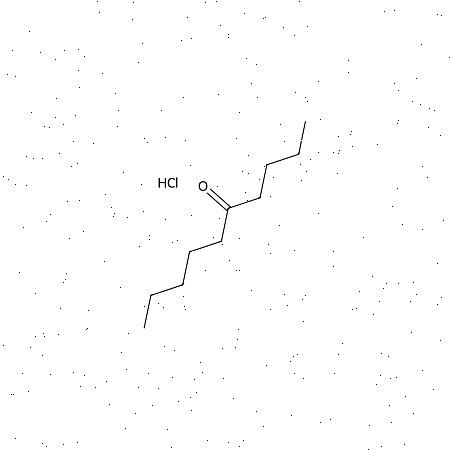 CCCCCC(=O)CCCC.Cl